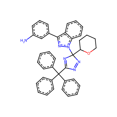 Nc1cccc(-c2nn(C3(C4CCCCO4)N=NC(C(c4ccccc4)(c4ccccc4)c4ccccc4)=N3)c3ccccc23)c1